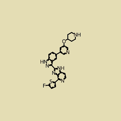 Fc1ccc(-c2nccc3[nH]c(-c4n[nH]c5ccc(-c6cncc(OC7CCNCC7)c6)cc45)nc23)s1